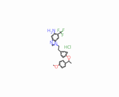 COc1ccc(C(C)Oc2ccc(CCn3cnc4cc(N)c(C(F)(F)F)cc43)cc2)cc1.Cl